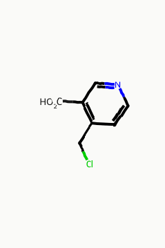 O=C(O)c1cnccc1CCl